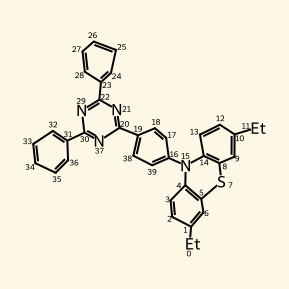 CCc1ccc2c(c1)Sc1cc(CC)ccc1N2c1ccc(-c2nc(-c3ccccc3)nc(-c3ccccc3)n2)cc1